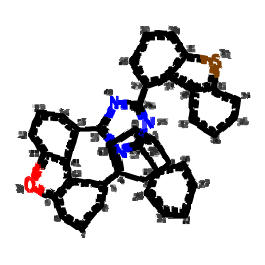 C1=CCCC(c2cccc3oc4cccc(-c5nc(-c6ccccc6)nc(-c6cccc7sc8ccccc8c67)n5)c4c23)=C1